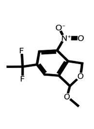 COC1OCc2c1cc(C(C)(F)F)cc2[N+](=O)[O-]